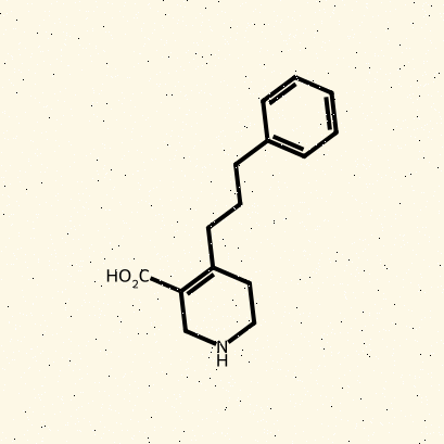 O=C(O)C1=C(CCCc2ccccc2)CCNC1